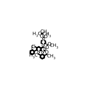 CCc1cccc(CC)c1-n1c(=O)nc(N2CCN(C(=O)OC(C)(C)C)C[C@@H]2C(=O)OC)c2cc(Cl)c(-c3ccccc3F)nc21